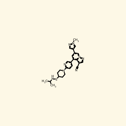 CC(C)NSC1CCN(c2ccc(-c3cc(-c4cnn(C)c4)cn4ncc(C#N)c34)cn2)CC1